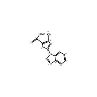 COC(=O)c1sc(-n2cnc3ccccc32)cc1O